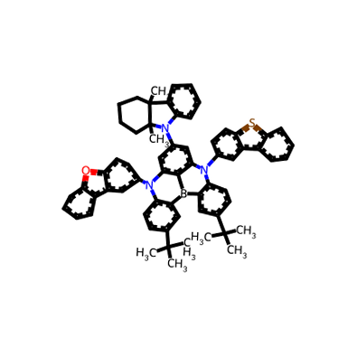 CC(C)(C)c1ccc2c(c1)B1c3cc(C(C)(C)C)ccc3N(c3ccc4sc5ccccc5c4c3)c3cc(N4c5ccccc5C5(C)CCCCC45C)cc(c31)N2c1ccc2oc3ccccc3c2c1